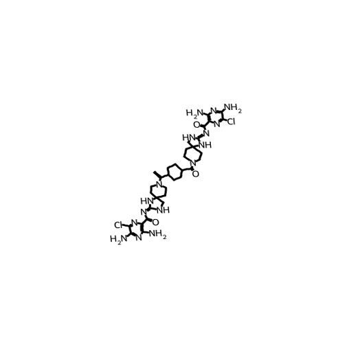 C=C(C1CCC(C(=O)N2CCC3(CC2)CN/C(=N\C(=O)c2nc(Cl)c(N)nc2N)N3)CC1)N1CCC2(CC1)CN/C(=N\C(=O)c1nc(Cl)c(N)nc1N)N2